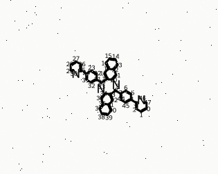 c1ccc(-c2ccc(/C3=N/c4cc5ccccc5cc4/C(c4ccc(-c5ccccn5)cc4)=N\c4cc5ccccc5cc43)cc2)nc1